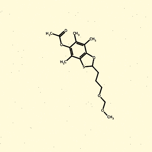 COCOCCCC1Oc2c(C)c(C)c(OC(C)=O)c(C)c2S1